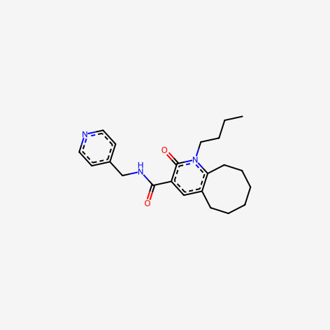 CCCCn1c2c(cc(C(=O)NCc3ccncc3)c1=O)CCCCCC2